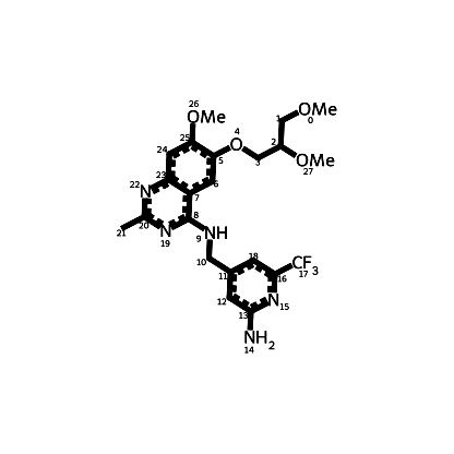 COCC(COc1cc2c(NCc3cc(N)nc(C(F)(F)F)c3)nc(C)nc2cc1OC)OC